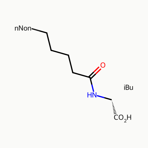 CCCCCCCCCCCCCC(=O)N[C@@H](C(=O)O)[C@H](C)CC